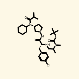 CC(C)C(=O)N(C1CCCCC1)[C@H]1CCN(NC(=O)[C@@H](Cc2ccc(Cl)cc2)NCC(C)N(C)C(=O)OC(C)(C)C)C1